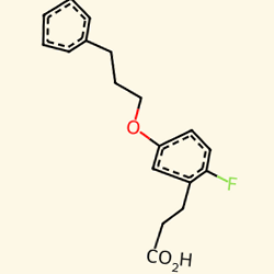 O=C(O)CCc1cc(OCCCc2ccccc2)ccc1F